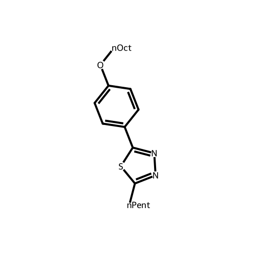 CCCCCCCCOc1ccc(-c2nnc(CCCCC)s2)cc1